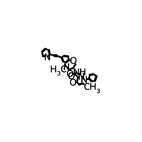 Cc1cc(=O)c(C(=O)N[C@H]2COc3ccc(C#Cc4ccccn4)cc3N(C)C2=O)nn1-c1ccccc1